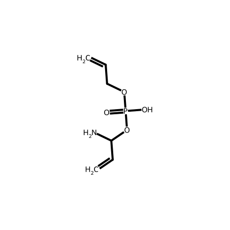 C=CCOP(=O)(O)OC(N)C=C